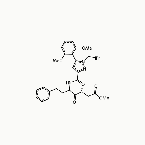 COC(=O)CNC(=O)C(CCc1ccccc1)NC(=O)c1cc(-c2c(OC)cccc2OC)n(CC(C)C)n1